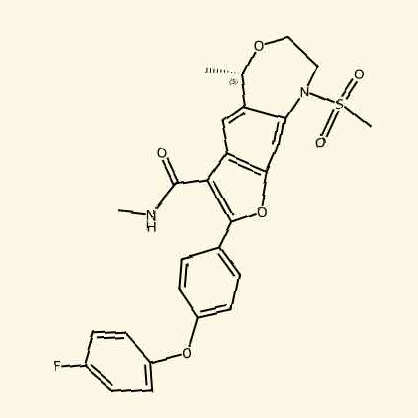 CNC(=O)c1c(-c2ccc(Oc3ccc(F)cc3)cc2)oc2cc3c(cc12)[C@H](C)OCCN3S(C)(=O)=O